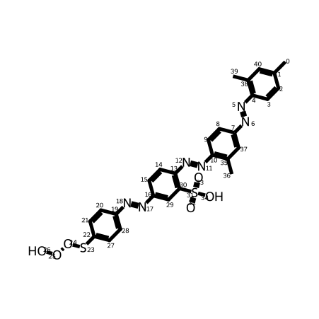 Cc1ccc(N=Nc2ccc(N=Nc3ccc(N=Nc4ccc(SOOO)cc4)cc3S(=O)(=O)O)c(C)c2)c(C)c1